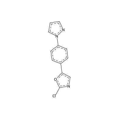 Clc1ncc(-c2ccc(-n3cccn3)cc2)o1